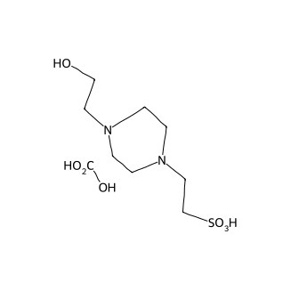 O=C(O)O.O=S(=O)(O)CCN1CCN(CCO)CC1